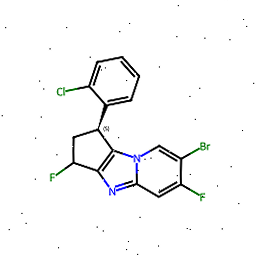 Fc1cc2nc3c(n2cc1Br)[C@H](c1ccccc1Cl)CC3F